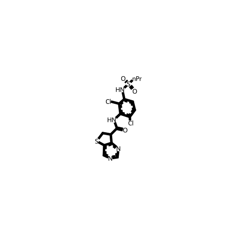 CCCS(=O)(=O)Nc1ccc(Cl)c(NC(=O)C2CSc3cncnc32)c1Cl